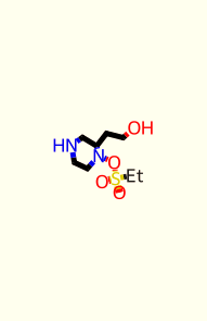 CCS(=O)(=O)ON1CCNCC1CCO